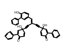 O=C1C=CC(O)(C#CC(C#CC2(O)C=CC(=O)C(c3ccccc3)=C2)=Cc2ccc(O)c(-c3ccccc3)c2)C=C1c1ccccc1